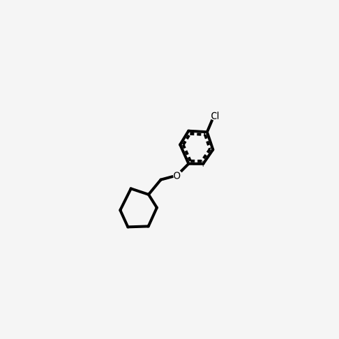 Clc1c[c]c(OCC2CCCCC2)cc1